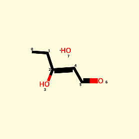 CCC(O)=CC=O.[OH]